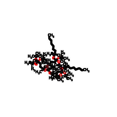 CCCCCCC[Si](C)(C)O[Si](CC[Si](C)(C)O[Si](C)(O[Si](C)(C)CC[Si](O[Si](C)(C)C)(O[Si](C)(C)C)O[Si](C)(C)C)O[Si](C)(C)CC[Si](O[Si](C)(C)C)(O[Si](C)(C)C)O[Si](C)(C)CCCCCCC)(O[Si](C)(C)C)O[Si](C)(C)C